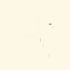 CCCCCCCC[P+](C)(CCCCCCCC)CCCCCCCC.O=C([O-])C(F)(F)F